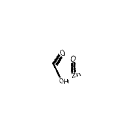 O=CO.[O]=[Zn]